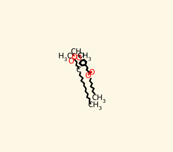 CCCCCCCCCCCCCCCCCC(=O)OC(C)C.CCCCCCCCOC(=O)C=Cc1ccc(OC)cc1